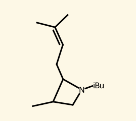 CCC(C)N1CC(C)C1CC=C(C)C